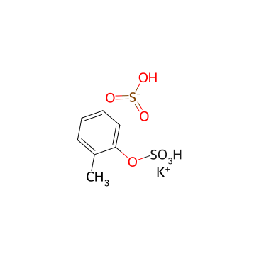 Cc1ccccc1OS(=O)(=O)O.O=[S-](=O)O.[K+]